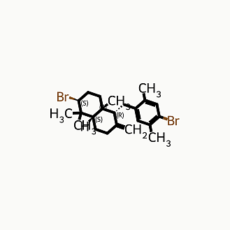 C=C1CC[C@@H]2C(C)(C)[C@@H](Br)CC[C@]2(C)[C@@H]1Cc1cc(C)c(Br)cc1C